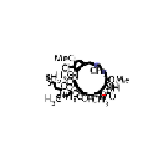 BSCCC(=O)N(C)CC(=O)O[C@H]1CC(=O)N(C)c2cc(cc(OC)c2Cl)C/C(C)=C/C=C/[C@@H](OC)[C@@]2(O)C[C@H](OC(=O)N2)[C@@H](C)[C@@H]2O[C@@]12C